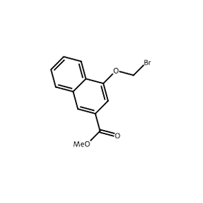 COC(=O)c1cc(OCBr)c2ccccc2c1